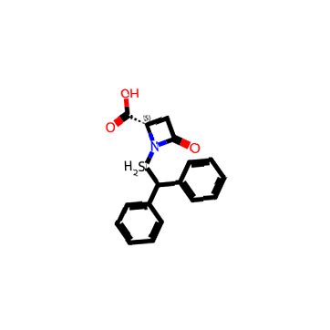 O=C(O)[C@@H]1CC(=O)N1[SiH2]C(c1ccccc1)c1ccccc1